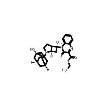 CCOC(=O)c1nc2ccccc2n([C@@]2(C)C[C@@H]3C2CCN3C23C[C@H]4C[C@@H](C2)C[C@](O)(C4)C3)c1=O